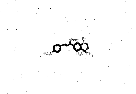 CCCCCC(/C=C/c1ccc(C(=O)O)cc1)c1ccc2c(c1)N(CC)CCC2(C)C